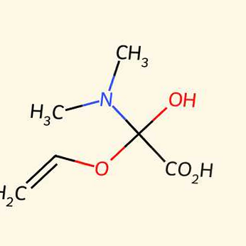 C=COC(O)(C(=O)O)N(C)C